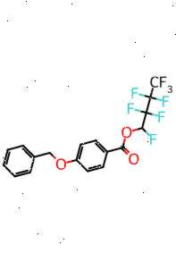 O=C(OC(F)C(F)(F)C(F)(F)C(F)(F)F)c1ccc(OCc2ccccc2)cc1